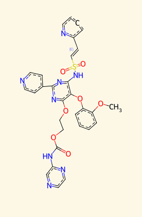 COc1ccccc1Oc1c(NS(=O)(=O)/C=C/c2ccccn2)nc(-c2ccncc2)nc1OCCOC(=O)Nc1cnccn1